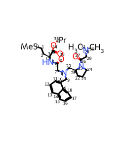 CSCC[C@H](NC(=O)CN(Cc1cccc2ccccc12)C[C@@H]1CCCN1C(=O)CN(C)C)C(=O)OC(C)C